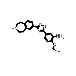 CCOc1ccc(-c2nc(-c3ccc4c(c3)CCNCC4)no2)cc1N